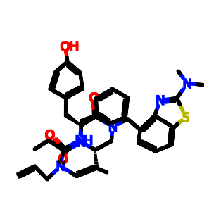 C=CCN(/C=C(/C)[C@H]1CN(Cc2cccc3sc(N(C)C)nc23)C(=O)[C@H](Cc2ccc(O)cc2)N1C(=O)CC)C(=O)NCc1ccccc1